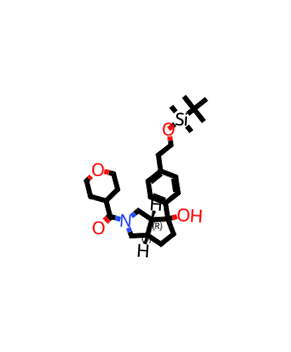 CC(C)(C)[Si](C)(C)OCCc1ccc(C2(O)CC[C@@H]3CN(C(=O)C4CCOCC4)C[C@@H]32)cc1